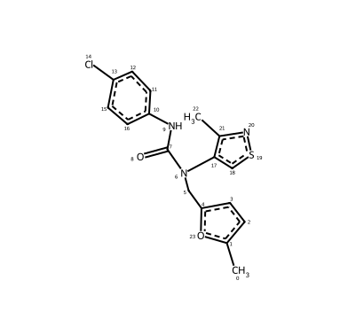 Cc1ccc(CN(C(=O)Nc2ccc(Cl)cc2)c2csnc2C)o1